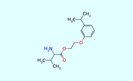 CC(C)c1cccc(OCCOC(=O)C(N)C(C)C)c1